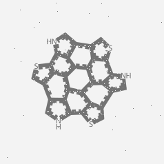 c1[nH]c2c3scc4c5c[nH]c6c7scc8c9c[nH]c%10c%11scc%12c1c2c1c(c43)c(c56)c(c87)c(c9%10)c1c%12%11